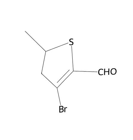 CC1CC(Br)=C(C=O)S1